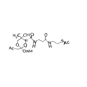 COC1(CC(C)=O)OCC(C)(C)[C@H](C(=O)NCCC(=O)NCCSC(C)=O)O1